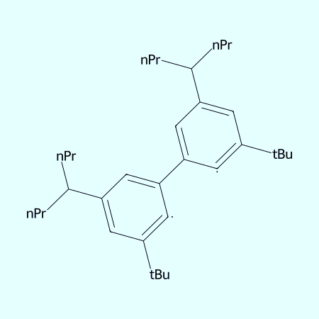 CCCC(CCC)c1cc(-c2[c]c(C(C)(C)C)cc(C(CCC)CCC)c2)[c]c(C(C)(C)C)c1